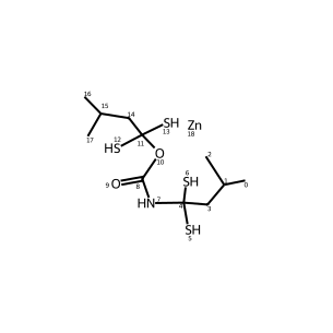 CC(C)CC(S)(S)NC(=O)OC(S)(S)CC(C)C.[Zn]